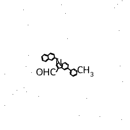 Cc1cccc(-c2ccc3c(c2)c(CC=O)cn3Cc2ccc3ccccc3c2)c1